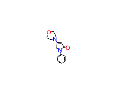 O=C1C=C(N2CCOCC2)CN1c1ccccc1